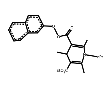 CCCN1C(C)=C(C(=O)OCC)C(C)C(C(=O)OOc2ccc3ccccc3c2)=C1C